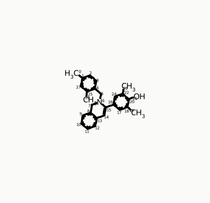 Cc1ccc(CN2Cc3ccccc3C=C2c2cc(C)c(O)c(C)c2)c(C)c1